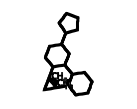 CC12CC1(C)N1CCCCC1C1CC(C3CCCC3)CCC12